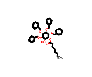 CCCCCCCCCCCCCCCC(=O)O[C@@H]1[C@H](O)[C@@H](OCc2ccccc2)[C@H](OCc2ccccc2)[C@@H](OCc2ccccc2)[C@@H]1OCc1ccccc1